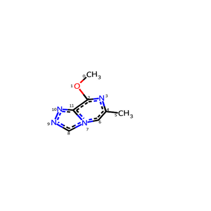 COc1nc(C)cn2cnnc12